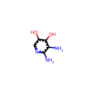 Nc1ncc(O)c(O)c1N